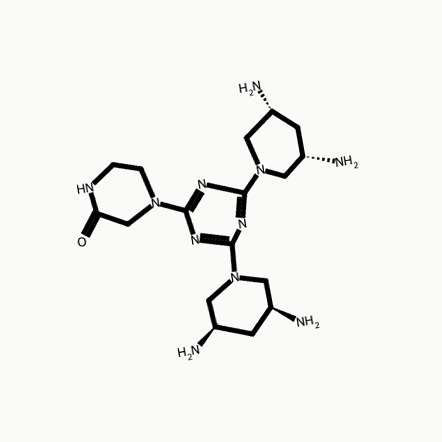 N[C@@H]1C[C@H](N)CN(c2nc(N3CCNC(=O)C3)nc(N3C[C@H](N)C[C@H](N)C3)n2)C1